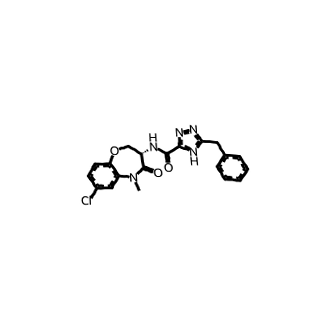 CN1C(=O)[C@@H](NC(=O)c2nnc(Cc3ccccc3)[nH]2)COc2ccc(Cl)cc21